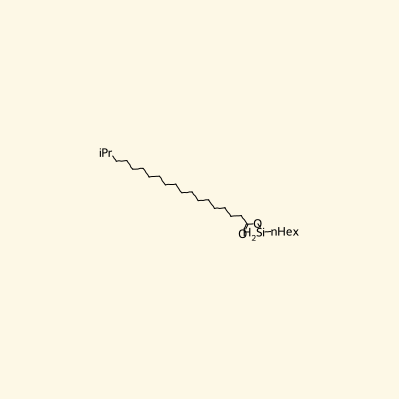 CCCCCC[SiH2]OC(=O)CCCCCCCCCCCCCCCCC(C)C